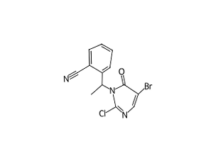 CC(c1ccccc1C#N)n1c(Cl)ncc(Br)c1=O